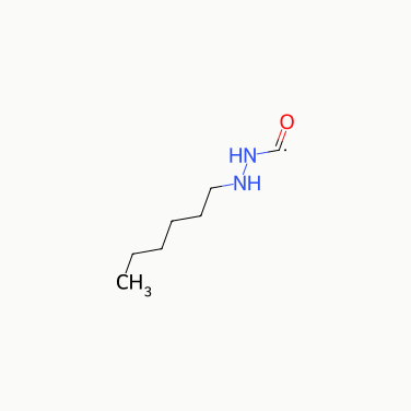 CCCCCCNN[C]=O